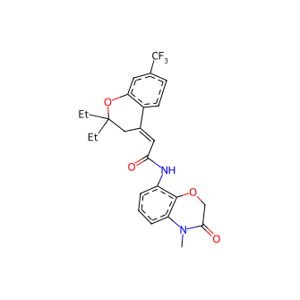 CCC1(CC)C/C(=C\C(=O)Nc2cccc3c2OCC(=O)N3C)c2ccc(C(F)(F)F)cc2O1